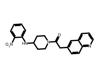 O=C(Cc1ccc2ncccc2c1)N1CCC(Nc2ccccc2[N+](=O)[O-])CC1